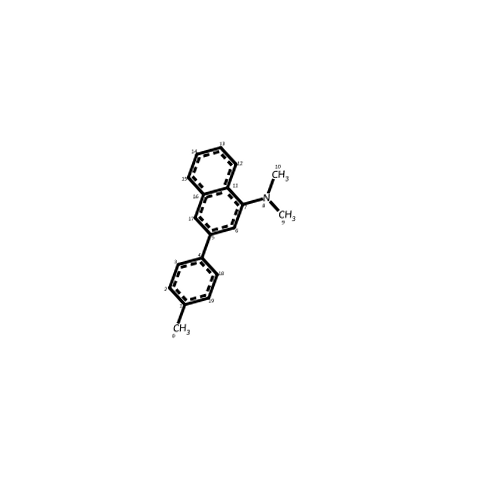 Cc1ccc(-c2cc(N(C)C)c3ccccc3c2)cc1